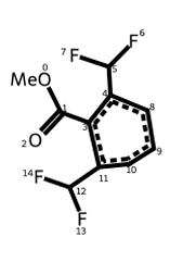 COC(=O)c1c(C(F)F)cccc1C(F)F